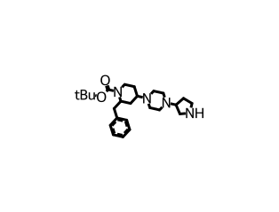 CC(C)(C)OC(=O)N1CCC(N2CCN(C3CCNC3)CC2)CC1Cc1ccccc1